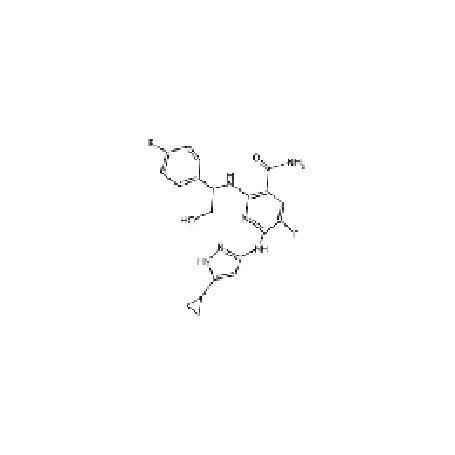 NC(=O)c1cc(F)c(Nc2cc(C3CC3)[nH]n2)nc1NC(CO)c1ccc(F)cc1